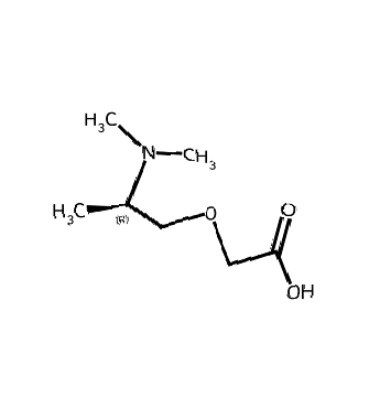 C[C@H](COCC(=O)O)N(C)C